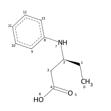 CC[C@@H](CC(=O)O)Nc1ccccc1